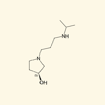 CC(C)NCCCN1CC[C@H](O)C1